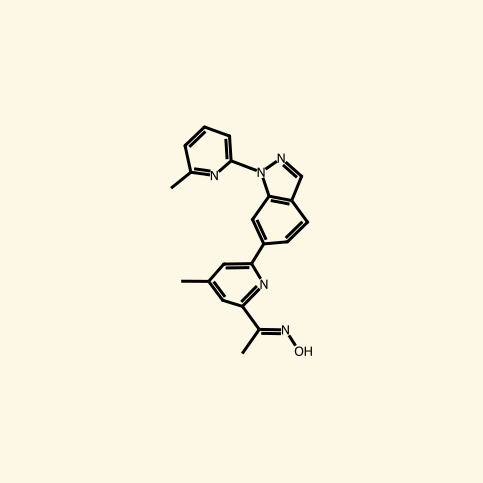 CC(=NO)c1cc(C)cc(-c2ccc3cnn(-c4cccc(C)n4)c3c2)n1